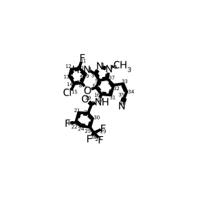 Cn1nc(N)c2c(Oc3cc(F)ccc3Cl)c(NC(=O)c3cc(F)cc(C(F)(F)F)c3)cc(/C=C\C#N)c21